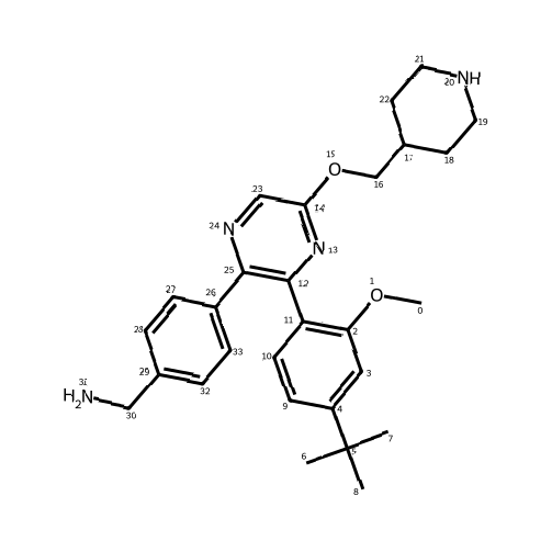 COc1cc(C(C)(C)C)ccc1-c1nc(OCC2CCNCC2)cnc1-c1ccc(CN)cc1